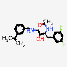 C=C(C)c1cccc(CNC[C@H](O)[C@H](Cc2cc(F)cc(F)c2)NC(C)=O)c1